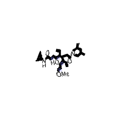 C=C/C(=C(O)\C=C\OC)C(CC(=O)N1CC(C)CC(C)C1)/C(C=C)=C/C=C/C(=O)NC1CC1